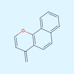 C=C1C=COc2c1ccc1ccccc21